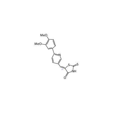 COc1ccc(-c2ccc(/C=C3\SC(=S)NC3=O)cn2)cc1OC